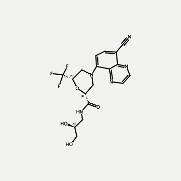 N#Cc1ccc(N2C[C@@H](C(F)(F)F)O[C@@H](C(=O)NC[C@H](O)CO)C2)c2nccnc12